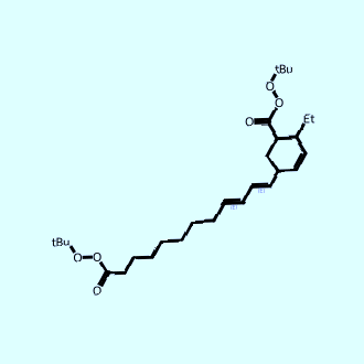 CCC1C=CC(/C=C/C=C/CCCCCCCC(=O)OOC(C)(C)C)CC1C(=O)OOC(C)(C)C